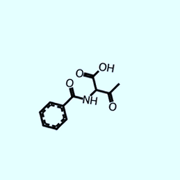 CC(=O)C(NC(=O)c1ccccc1)C(=O)O